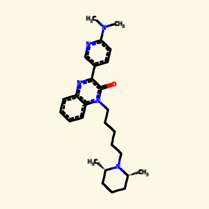 C[C@@H]1CCC[C@H](C)N1CCCCCn1c(=O)c(-c2ccc(N(C)C)nc2)nc2ccccc21